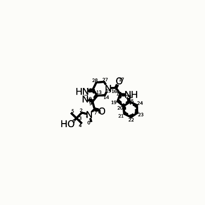 CN(CC(C)(C)O)C(=O)c1n[nH]c2c1CN(C(=O)c1cc3ccccc3[nH]1)CC2